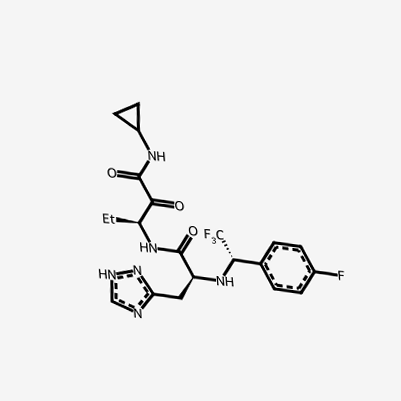 CC[C@H](NC(=O)[C@H](Cc1nc[nH]n1)N[C@@H](c1ccc(F)cc1)C(F)(F)F)C(=O)C(=O)NC1CC1